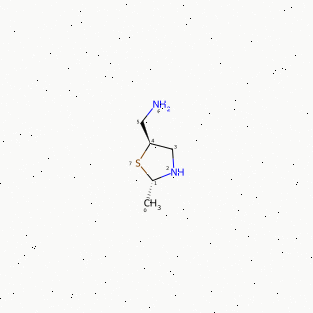 C[C@H]1NC[C@H](CN)S1